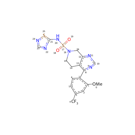 COc1cc(C(F)(F)F)ccc1-c1ncnc2c1CCN(S(=O)(=O)Nc1ncns1)C2